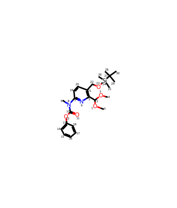 COC(OC)c1nc(N(C)C(=O)Oc2ccccc2)ccc1CO[Si](C)(C)C(C)(C)C